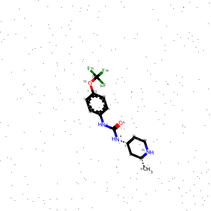 C[C@@H]1C[C@H](NC(=O)Nc2ccc(OC(F)(F)F)cc2)CCN1